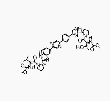 COC(=O)N[C@H](C(=O)N1CCC[C@H]1c1nc2cc(-c3cnc(-c4ccc(-c5c[nH]c([C@@H]6CCCN6C(=O)[C@@H](NC(=O)OC)[C@@H](C)O)n5)cc4)cn3)ccc2[nH]1)C(C)C